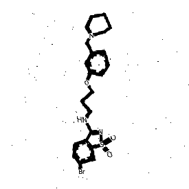 O=S1(=O)N=C(NCCCOc2cccc(CN3CCCCC3)c2)c2ccc(Br)cc21